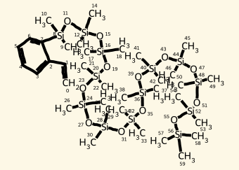 C=Cc1ccccc1[Si](C)(C)O[Si](C)(C)O[Si](C)(C)O[Si](C)(C)O[Si](C)(C)O[Si](C)(C)O[Si](C)(C)O[Si](C)(C)O[Si](C)(C)O[Si](C)(C)O[Si](C)(C)O[Si](C)(C)O[Si](C)(C)C